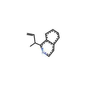 C=CC(C)c1nccc2ccccc12